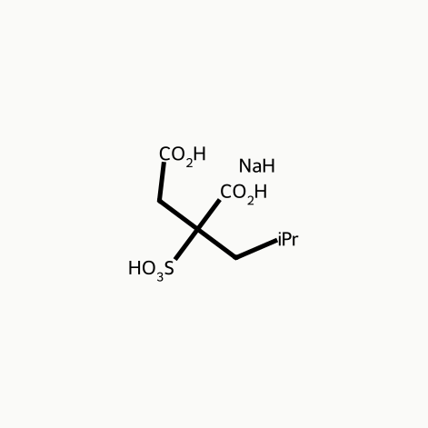 CC(C)CC(CC(=O)O)(C(=O)O)S(=O)(=O)O.[NaH]